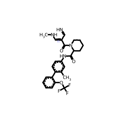 CN/C=C(\C=N)C(=O)N1CCCCC1C(=O)Nc1ccc(-c2ccccc2OC(F)(F)F)c(C)c1